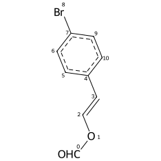 O=COC=Cc1ccc(Br)cc1